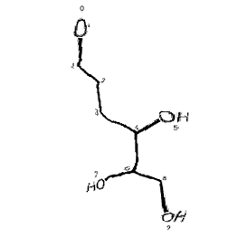 [O]CCCC(O)C(O)CO